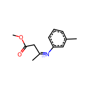 COC(=O)C/C(C)=N\c1cccc(C)c1